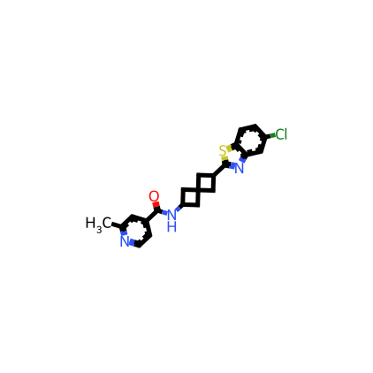 Cc1cc(C(=O)NC2CC3(C2)CC(c2nc4cc(Cl)ccc4s2)C3)ccn1